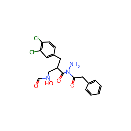 NN(C(=O)Cc1ccccc1)C(=O)C(Cc1ccc(Cl)c(Cl)c1)CN(O)C=O